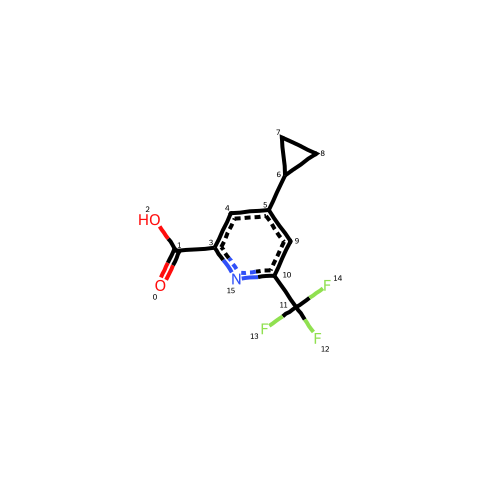 O=C(O)c1cc(C2CC2)cc(C(F)(F)F)n1